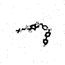 Cc1c(C(=O)NCCOC(C)(C)C)ccc2nn(CC3CCN(C(=O)c4ccc(-c5ccc(F)cc5)cc4)CC3)cc12